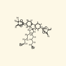 C=C1OB(c2ccc3c(c2)C(CCCCCCBr)(CCCCCCBr)c2cc(B4OC(=C)C(C)(C)O4)ccc2-3)OC1=C